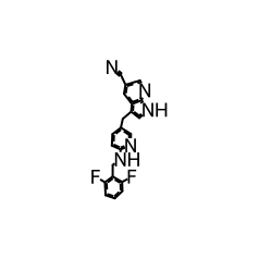 N#Cc1cnc2[nH]cc(Cc3ccc(NCc4c(F)cccc4F)nc3)c2c1